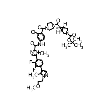 COCCn1ncc(-c2ccc(-c3cnc(C(=O)Nc4ccc(C(=O)N5CCN(C(=O)[C@H]6[C@@H]7CN(C(=O)OC(C)(C)C)C[C@@H]76)CC5)c(Cl)c4)n3C)c(F)c2F)c1C